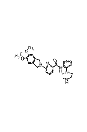 COc1cc2c(cc1OC)CN(c1cccc(C(=O)Nc3cnccc3N3CCNCC3)n1)C2